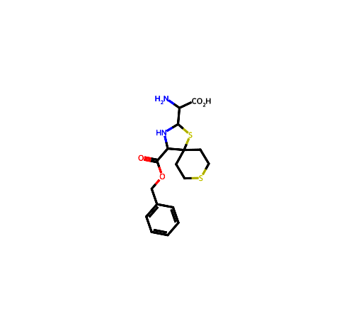 NC(C(=O)O)C1NC(C(=O)OCc2ccccc2)C2(CCSCC2)S1